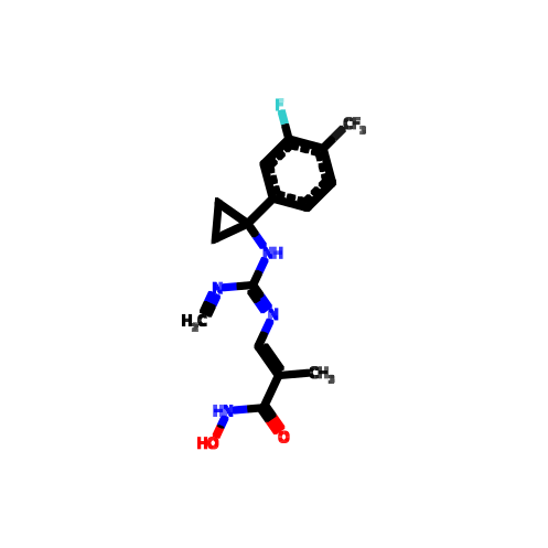 C=N/C(=N\C=C(/C)C(=O)NO)NC1(c2ccc(C(F)(F)F)c(F)c2)CC1